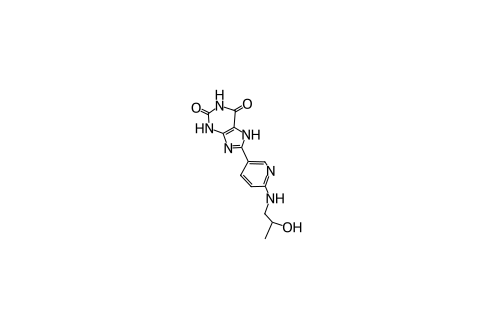 CC(O)CNc1ccc(-c2nc3[nH]c(=O)[nH]c(=O)c3[nH]2)cn1